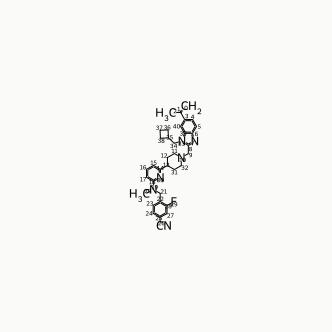 C=C(C)c1ccc2nc(CN3CCC(c4cccc(N(C)Cc5ccc(C#N)cc5F)n4)CC3)n(CC3CCC3)c2c1